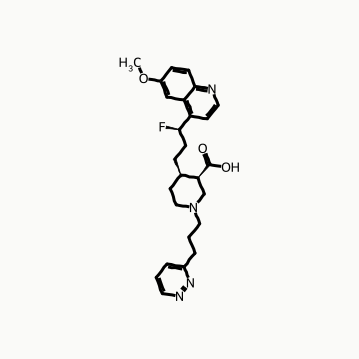 COc1ccc2nccc([C@H](F)CC[C@@H]3CCN(CCCc4cccnn4)C[C@@H]3C(=O)O)c2c1